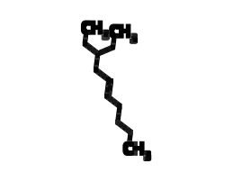 CCCC/C=C/CC(CC)CC